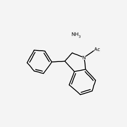 CC(=O)N1CC(c2ccccc2)c2ccccc21.N